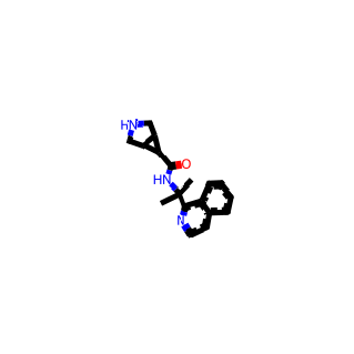 CC(C)(NC(=O)C1C2CNCC21)c1nccc2ccccc12